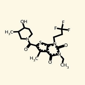 CCn1c(=O)c2c(C)c(C(=O)N3CCC(O)C(C)C3)sc2n(CCC(F)(F)F)c1=O